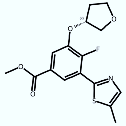 COC(=O)c1cc(O[C@@H]2CCOC2)c(F)c(-c2ncc(C)s2)c1